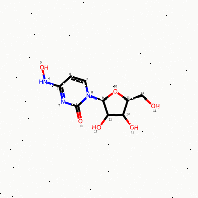 O=c1nc(NO)ccn1[C@H]1O[C@@H](CO)C(O)C1O